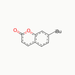 CCC(C)c1ccc2ccc(=O)oc2c1